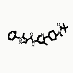 Cc1cc(NC(=O)c2cnn(-c3ccccc3)c2C)cnc1C1=CCC(N(C)C(=O)C(C)(C)C)CC1